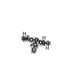 C[Si]1(C)CCN(c2c(F)cc(N3[C@H](c4ccc(NC(=O)[C@@H]5CCCN5)cc4)CC[C@H]3c3ccc4nc(C5CCCN5)[nH]c4c3)cc2F)CC1